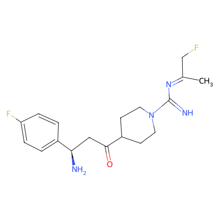 C/C(CF)=N\C(=N)N1CCC(C(=O)C[C@@H](N)c2ccc(F)cc2)CC1